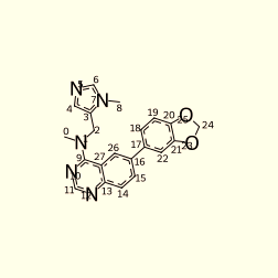 CN(Cc1cncn1C)c1ncnc2ccc(-c3ccc4c(c3)OCO4)cc12